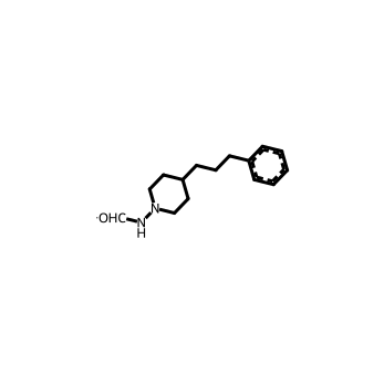 O=[C]NN1CCC(CCCc2ccccc2)CC1